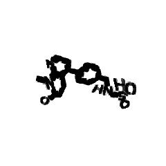 Cn1c(=O)ccc2c(-c3ccc(CN[SH](=O)=O)cc3)ccnc21